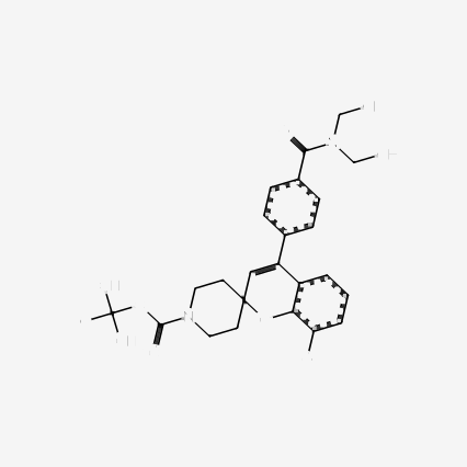 CCN(CC)C(=O)c1ccc(C2=CC3(CCN(C(=O)OC(C)(C)C)CC3)Oc3c(O)cccc32)cc1